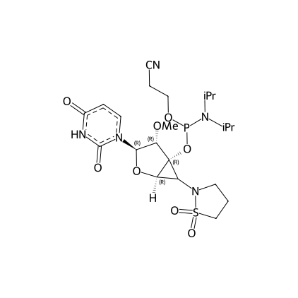 CO[C@H]1[C@H](n2ccc(=O)[nH]c2=O)O[C@@H]2C(N3CCCS3(=O)=O)[C@@]21OP(OCCC#N)N(C(C)C)C(C)C